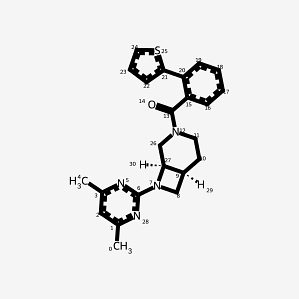 Cc1cc(C)nc(N2C[C@@H]3CCN(C(=O)c4ccccc4-c4cccs4)C[C@@H]32)n1